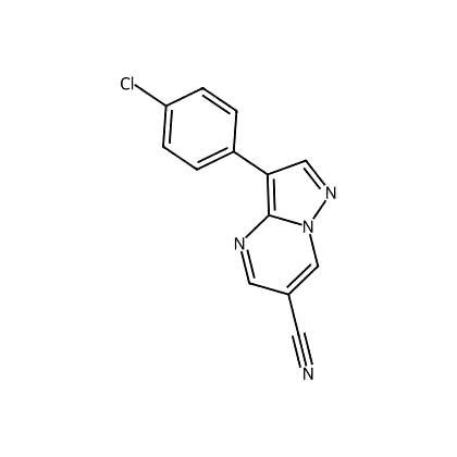 N#Cc1cnc2c(-c3ccc(Cl)cc3)cnn2c1